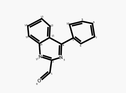 O=Cc1nc(-c2ccccc2)c2ccccc2n1